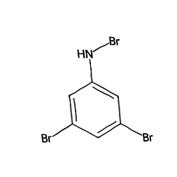 BrNc1cc(Br)cc(Br)c1